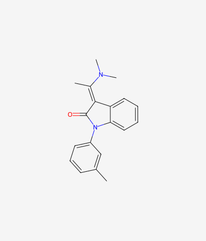 C/C(=C1\C(=O)N(c2cccc(C)c2)c2ccccc21)N(C)C